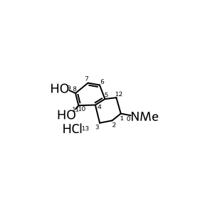 CNC1CCc2c(ccc(O)c2O)C1.Cl